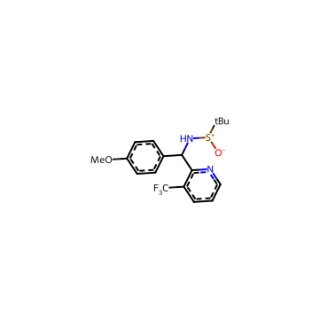 COc1ccc(C(N[S+]([O-])C(C)(C)C)c2ncccc2C(F)(F)F)cc1